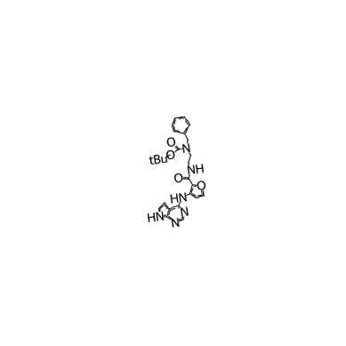 CC(C)(C)OC(=O)N(CCNC(=O)c1occc1Nc1ncnc2[nH]ccc12)Cc1ccccc1